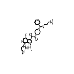 C=N/C=C\N(N)c1ncc(F)c2c(C(=O)C(=O)N3CCN(/C(=N/CCCN(C)C)c4ccccc4)CC3)c[nH]c12